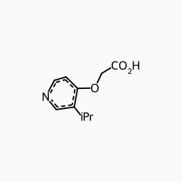 CC(C)c1cnccc1OCC(=O)O